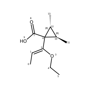 CC=C(OCC)C1(C(=O)O)[C@H](C)[C@H]1C